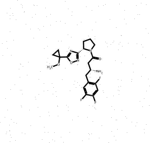 COC1(c2nc([C@@H]3CCCN3C(=O)C[C@H](N)Cc3cc(F)c(F)cc3F)no2)CC1